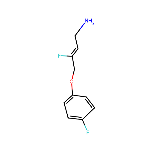 NC/C=C(\F)COc1ccc(F)cc1